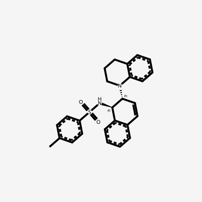 Cc1ccc(S(=O)(=O)N[C@@H]2c3ccccc3C=C[C@H]2N2CCCc3ccccc32)cc1